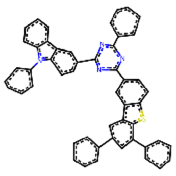 c1ccc(-c2cc(-c3ccccc3)c3sc4ccc(-c5nc(-c6ccccc6)nc(-c6ccc7c(c6)c6ccccc6n7-c6ccccc6)n5)cc4c3c2)cc1